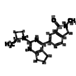 C[C@H]1CCN1c1nc2c(c(-c3ccc4c(c3)C(=O)N(C)C4)n1)CCC2